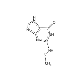 CSNc1nc2nc[nH]c2c(=O)[nH]1